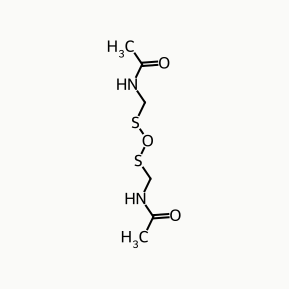 CC(=O)NCSOSCNC(C)=O